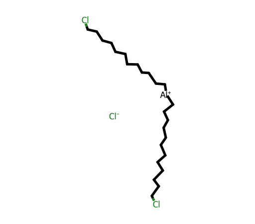 ClCCCCCCCCCCC[CH2][Al+][CH2]CCCCCCCCCCCCl.[Cl-]